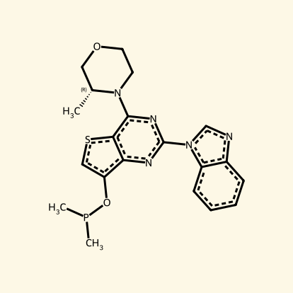 C[C@@H]1COCCN1c1nc(-n2cnc3ccccc32)nc2c(OP(C)C)csc12